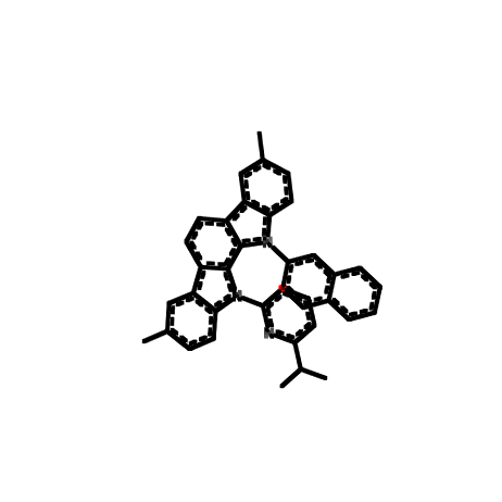 Cc1ccc2c(c1)c1ccc3c4cc(C)ccc4n(-c4cccc(C(C)C)n4)c3c1n2-c1ccc2ccccc2c1